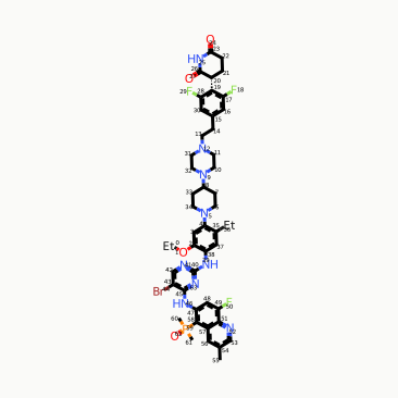 CCOc1cc(N2CCC(N3CCN(CCc4cc(F)c([C@H]5CCC(=O)NC5=O)c(F)c4)CC3)CC2)c(CC)cc1Nc1ncc(Br)c(Nc2cc(F)c3ncc(C)cc3c2P(C)(C)=O)n1